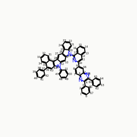 c1ccc(-c2nc3ccc(-c4cc5ccccc5c(-n5c6ccccc6c6cc7c8c9ccccc9c(-c9ccccc9)cc8n(-c8ccccc8)c7cc65)n4)cc3nc2-c2ccccc2)cc1